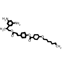 C=CCCCCCOC1CCC(C(=O)Oc2ccc(/C=C/C(=O)OCC(C)c3cc(N)cc(N)c3)cc2)CC1